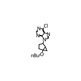 CCCCOC12CCC(n3cnc4c(Cl)ncnc43)C1C2